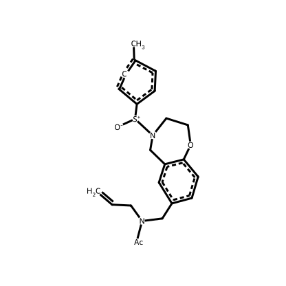 C=CCN(Cc1ccc2c(c1)CN([S+]([O-])c1ccc(C)cc1)CCO2)C(C)=O